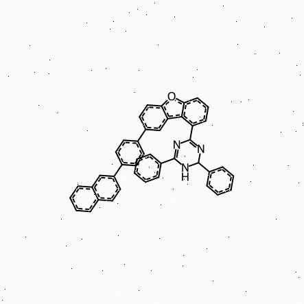 c1ccc(C2=NC(c3cccc4oc5ccc(-c6ccc(-c7ccc8ccccc8c7)cc6)cc5c34)=NC(c3ccccc3)N2)cc1